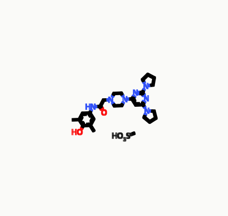 CS(=O)(=O)O.Cc1cc(NC(=O)CN2CCN(c3cc(N4CCCC4)nc(N4CCCC4)n3)CC2)cc(C)c1O